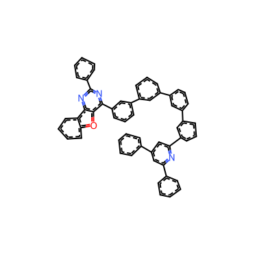 c1ccc(-c2cc(-c3ccccc3)nc(-c3cccc(-c4cccc(-c5cccc(-c6cccc(-c7nc(-c8ccccc8)nc8c7oc7ccccc78)c6)c5)c4)c3)c2)cc1